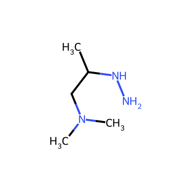 CC(CN(C)C)NN